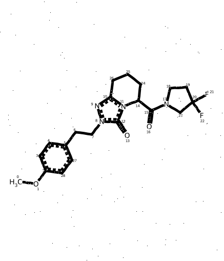 COc1ccc(CCn2nc3n(c2=O)C(C(=O)N2CCC(F)(F)C2)CCC3)cc1